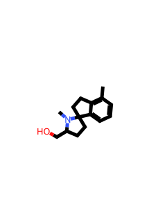 Cc1cccc2c1CCC21CCC(CO)N1C